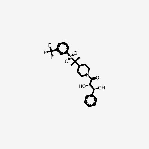 CC(C)(C1CCN(C(=O)[C@H](O)[C@@H](O)c2ccccc2)CC1)S(=O)(=O)c1cccc(C(F)(F)F)c1